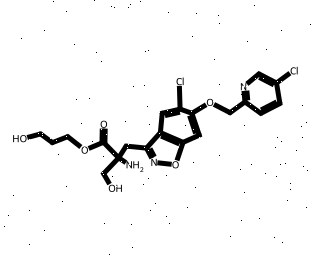 NC(CO)(Cc1noc2cc(OCc3ccc(Cl)cn3)c(Cl)cc12)C(=O)OCCCO